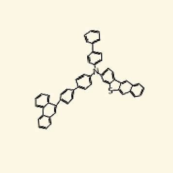 c1ccc(-c2ccc(N(c3ccc(-c4ccc(-c5cc6ccccc6c6ccccc56)cc4)cc3)c3ccc4c(c3)sc3cc5ccccc5cc34)cc2)cc1